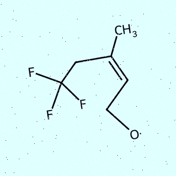 CC(=CC[O])CC(F)(F)F